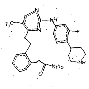 NC(=O)Cc1ccccc1CCc1nc(Nc2ccc(C3CCNCC3)c(F)c2)ncc1C(F)(F)F